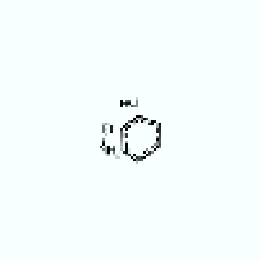 CCN.Cl.c1ccccc1